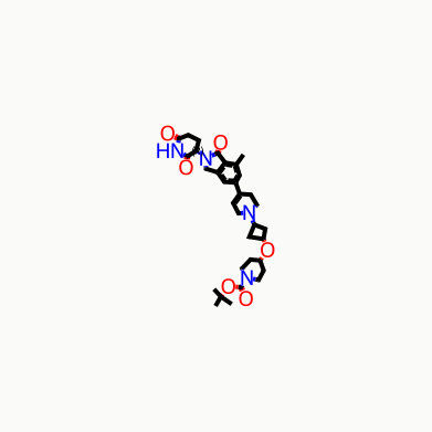 Cc1cc(C2=CCN(C3CC(OC4CCN(C(=O)OC(C)(C)C)CC4)C3)CC2)cc2c1C(=O)N([C@@H]1CCC(=O)NC1=O)C2